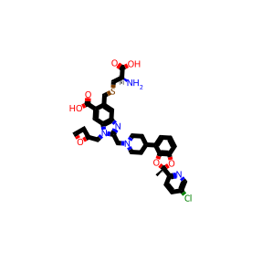 C[C@]1(c2ccc(Cl)cn2)Oc2cccc(C3CCN(Cc4nc5cc(CSC[C@H](N)C(=O)O)c(C(=O)O)cc5n4CC4CCO4)CC3)c2O1